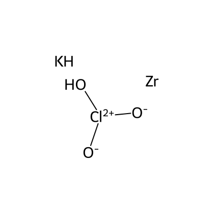 [KH].[O-][Cl+2]([O-])O.[Zr]